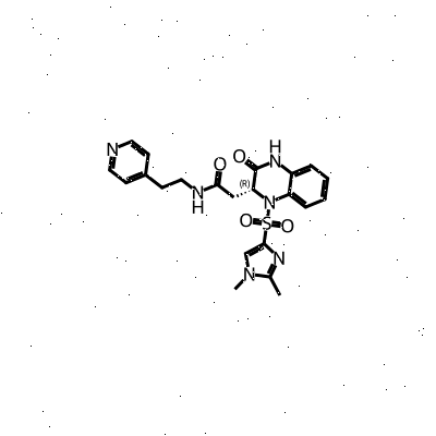 Cc1nc(S(=O)(=O)N2c3ccccc3NC(=O)[C@H]2CC(=O)NCCc2ccncc2)cn1C